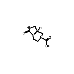 O=C(O)N1CCN2C(=O)NC[C@@H]2C1